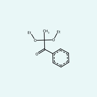 CCOC(C)(OCC)C(=O)c1ccccc1